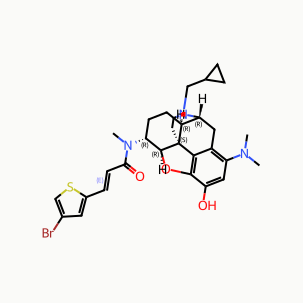 CN(C)c1cc(O)c2c3c1C[C@@H]1[C@@H]4CC[C@@H](N(C)C(=O)/C=C/c5cc(Br)cs5)[C@H](O2)[C@]34CCN1CC1CC1